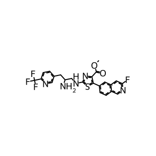 COC(=O)c1nc(NCC(N)Cc2ccc(C(F)(F)F)nc2)sc1-c1ccc2cnc(F)cc2c1